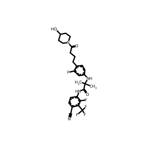 CC(C)(Nc1ccc(CCCC(=O)N2CCC(O)CC2)c(F)c1)C(=O)Nc1ccc(C#N)c(C(F)(F)F)c1F